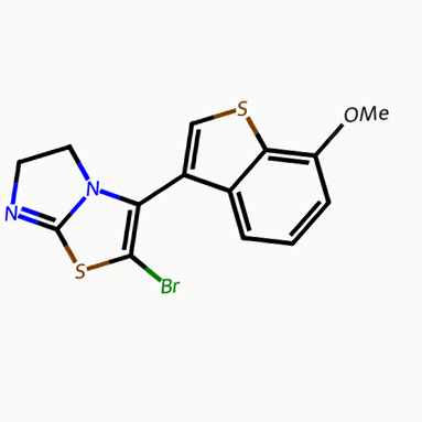 COc1cccc2c(C3=C(Br)SC4=NCCN43)csc12